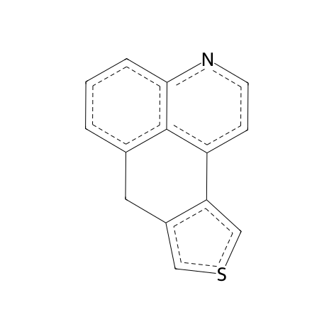 c1cc2c3c(ccnc3c1)-c1cscc1C2